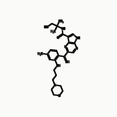 Cc1ccc(C(=N)c2cnc3[nH]cc(C(=O)NC(C)(C)CO)c3n2)c(NCCCN2CCOCC2)c1